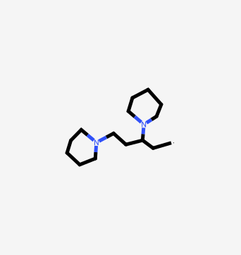 [CH2]CC(CCN1CCCCC1)N1CCCCC1